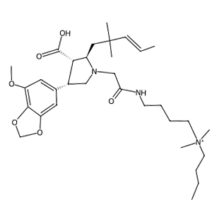 CC=CC(C)(C)C[C@@H]1[C@@H](C(=O)O)[C@@H](c2cc(OC)c3c(c2)OCO3)CN1CC(=O)NCCCC[N+](C)(C)CCCC